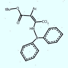 CC(=O)/C(C(=O)OC(C)(C)C)=C(/NB(c1ccccc1)c1ccccc1)C(Cl)(Cl)Cl